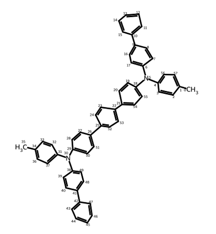 Cc1ccc(N(c2ccc(-c3ccccc3)cc2)c2ccc(-c3ccc(-c4ccc(N(c5ccc(C)cc5)c5ccc(-c6ccccc6)cc5)cc4)cc3)cc2)cc1